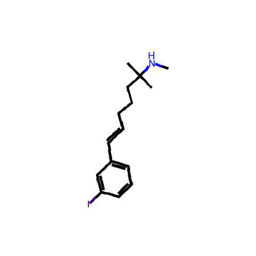 CNC(C)(C)CCC/C=C/c1cccc(I)c1